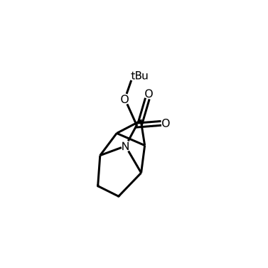 CC(C)(C)OC(=O)N1C2CCC1C1C(=O)C12